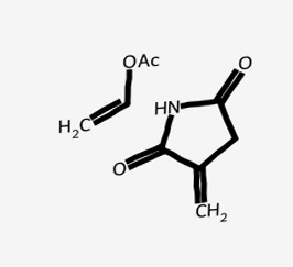 C=C1CC(=O)NC1=O.C=COC(C)=O